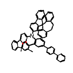 Cc1cccc(C)c1-c1cc(-c2ccc(-c3ccccc3)cc2)ccc1N(c1ccc2c(c1)C(C)(C)c1ccccc1-2)c1ccc2c(c1)C1(c3ccccc3CCc3ccccc31)c1ccccc1-2